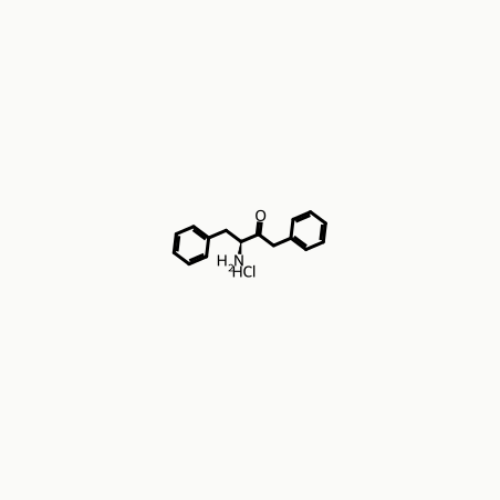 Cl.N[C@@H](Cc1ccccc1)C(=O)Cc1ccccc1